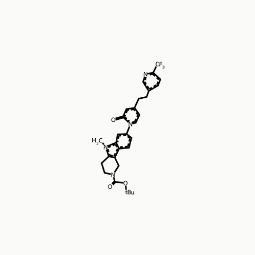 Cn1c2c(c3ccc(-n4ccc(CCc5ccc(C(F)(F)F)nc5)cc4=O)cc31)CN(C(=O)OC(C)(C)C)CC2